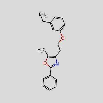 BCc1cccc(OCCc2nc(-c3ccccc3)oc2C)c1